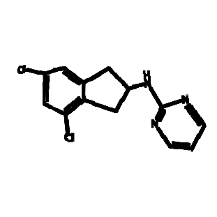 Clc1cc(Cl)c2c(c1)CC(Nc1nc[c]cn1)C2